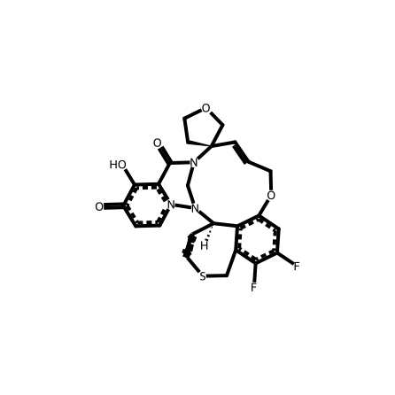 O=C1c2c(O)c(=O)ccn2N2CN1[C@]1(/C=C/COc3cc(F)c(F)c4c3[C@H]2c2ccccc2SC4)CCOC1